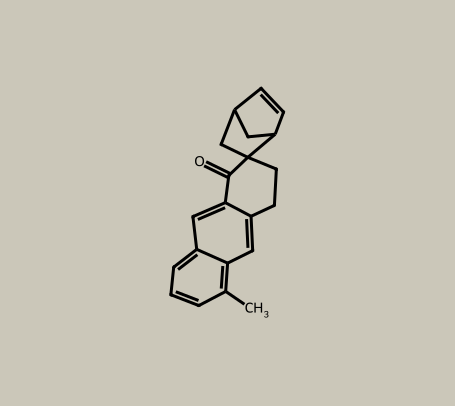 Cc1cccc2cc3c(cc12)CCC1(CC2C=CC1C2)C3=O